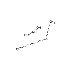 CCCCCCCC/C=C\CCCCCCCCCCCCCCl.OCCNCCO